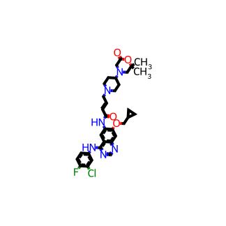 CC1(C)CN(C2CCN(CC=CC(=O)Nc3cc4c(Nc5ccc(F)c(Cl)c5)ncnc4cc3OCC3CC3)CC2)CC(=O)O1